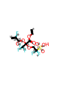 C=COC(=O)C(OCC(F)(F)S(=O)(=O)O)(OC(=O)C(=C)F)C(F)(F)F